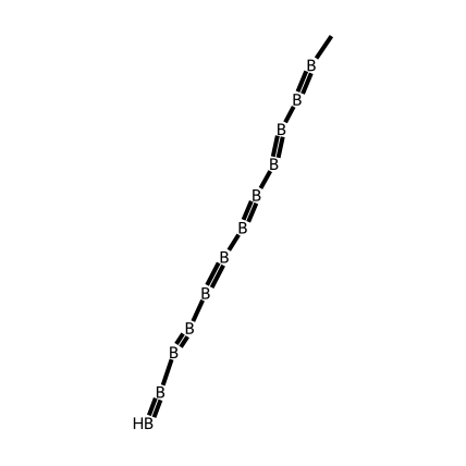 B=BB=BB=BB=BB=BB=BC